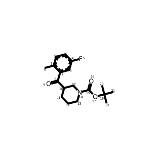 Cc1ccc(F)cc1C(=O)C1CCCN(C(=O)OC(C)(C)C)C1